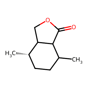 CC1CC[C@H](C)C2COC(=O)C12